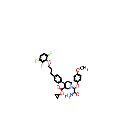 COc1ccc(OC(C(N)=O)N2CCC(c3ccc(CCCOc4c(F)ccc(F)c4F)cc3)=C(C(=O)OC3CC3)C2)cc1